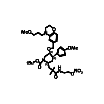 COCCCN1CCOc2ccc(CO[C@H]3CN(C(=O)OC(C)(C)C)[C@H](CC(C)(C)C(=O)NCCO[N+](=O)[O-])C[C@@H]3c3ccc(OC)cc3)cc21